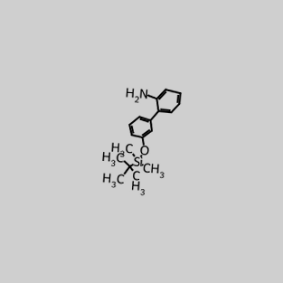 CC(C)(C)[Si](C)(C)Oc1cccc(-c2ccccc2N)c1